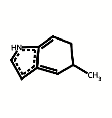 CC1C=c2cc[nH]c2=CC1